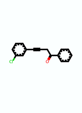 O=C(CC#Cc1cccc(Cl)c1)c1ccccc1